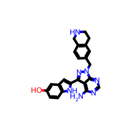 Nc1ncnc2c1c(-c1cc3cc(O)ccc3[nH]1)nn2Cc1ccc2c(c1)CCNC2